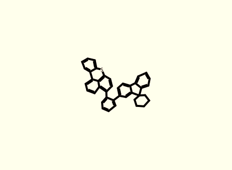 c1ccc2c(c1)Sc1ccc(-c3ccccc3-c3ccc4c(c3)C3(CCCCC3)c3ccccc3-4)c3cccc-2c13